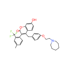 Cc1ccc(-c2c(Cc3ccc(OCCN4CCCCCC4)cc3)c3ccc(O)cc3oc2=O)c(C(F)(F)F)c1